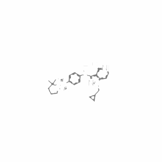 CC1(C)CCCN1S(=O)(=O)c1ccc(Nc2nn(CC3CC3)c3cc[nH]c(=O)c23)cc1